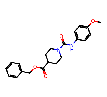 COc1ccc(NC(=O)N2CCC(C(=O)OCc3ccccc3)CC2)cc1